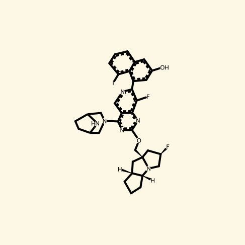 Oc1cc(-c2ncc3c(N4CC5CCC(C4)N5)nc(OC[C@@]45C[C@@H](F)CN4[C@@H]4CCC[C@@H]4C5)nc3c2F)c2c(I)cccc2c1